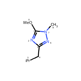 COc1nc(CC(C)C)nn1C